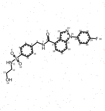 O=C(NCc1ccc(S(=O)(=O)NCCO)cc1)c1cccc2c1cnn2-c1ccc(F)cc1